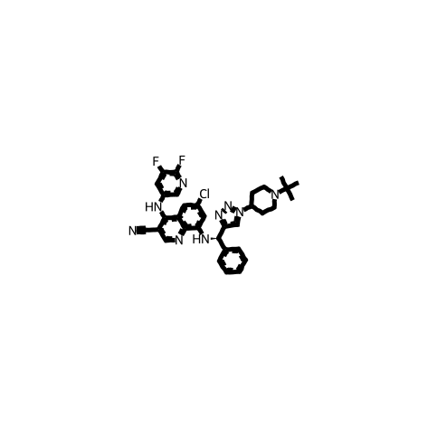 CC(C)(C)N1CCC(n2cc([C@@H](Nc3cc(Cl)cc4c(Nc5cnc(F)c(F)c5)c(C#N)cnc34)c3ccccc3)nn2)CC1